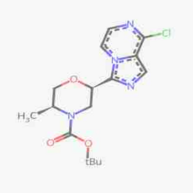 C[C@H]1CO[C@@H](c2ncc3c(Cl)nccn23)CN1C(=O)OC(C)(C)C